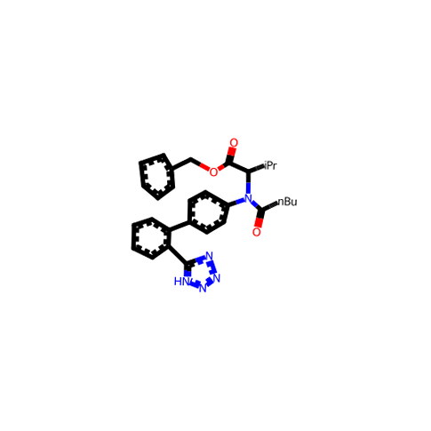 CCCCC(=O)N(c1ccc(-c2ccccc2-c2nnn[nH]2)cc1)C(C(=O)OCc1ccccc1)C(C)C